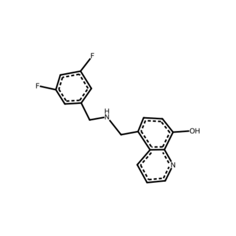 Oc1ccc(CNCc2cc(F)cc(F)c2)c2cccnc12